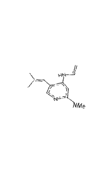 C=CNc1cc(NC)ncc1C=C(C)C